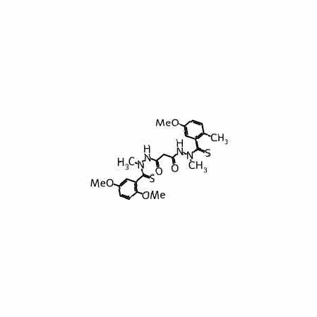 COc1ccc(C)c(C(=S)N(C)NC(=O)CC(=O)NN(C)C(=S)c2cc(OC)ccc2OC)c1